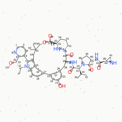 CCn1c(-c2cccnc2[C@H](C)OC)c2c3cc(ccc31)-c1cc(O)cc(c1)C[C@H](NC(=O)[C@H](C(C)C)N1CC[C@H](NC(=O)[C@H]3CN3)C1=O)C(=O)N1CCC[C@H](N1)C(=O)OCC(C)(C)C2